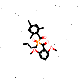 CCCCP(=O)(C(=O)c1c(C)cc(C)cc1C)C(=O)c1c(OC)cccc1OC